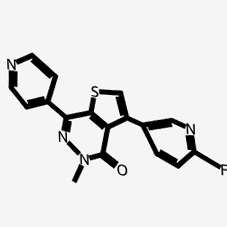 Cn1nc(-c2ccncc2)c2scc(-c3ccc(F)nc3)c2c1=O